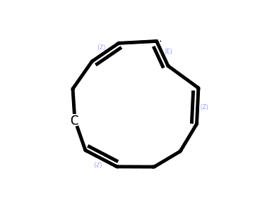 [C]1=C/C=C\CC/C=C\CC\C=C/1